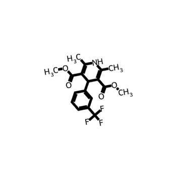 COC(=O)C1=C(C)NC(C)=C(C(=O)OC)C1c1cccc(C(F)(F)F)c1